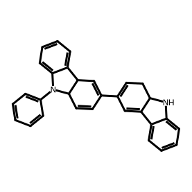 C1=CC2C(C=C1C1=CCC3Nc4ccccc4C3=C1)c1ccccc1N2c1ccccc1